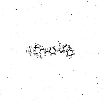 CN1C(C)(C)CC(NC(=O)c2ccc(-n3nc4c5ccccc5scc-4c3=O)cc2)CC1(C)C